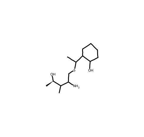 CC(SCC(N)C(C)[C@@H](C)O)C1CCCCC1O